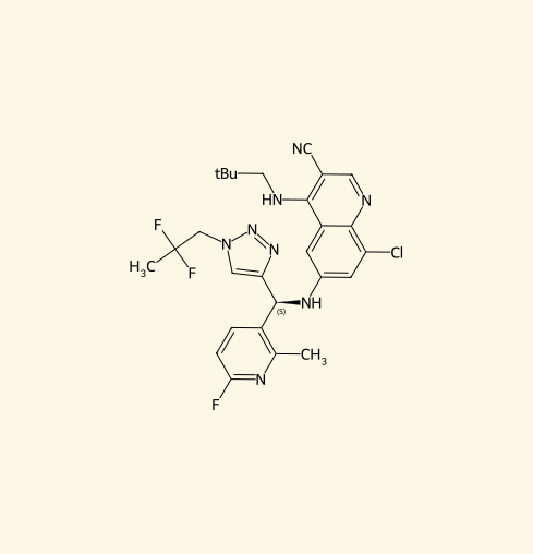 Cc1nc(F)ccc1[C@H](Nc1cc(Cl)c2ncc(C#N)c(NCC(C)(C)C)c2c1)c1cn(CC(C)(F)F)nn1